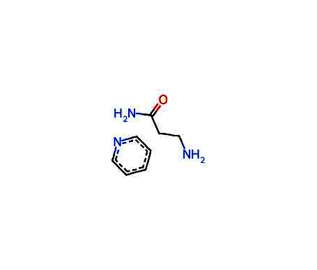 NCCC(N)=O.c1ccncc1